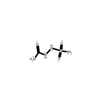 NC(=O)NNS(N)(=O)=O